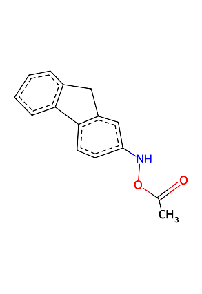 CC(=O)ONc1ccc2c(c1)Cc1ccccc1-2